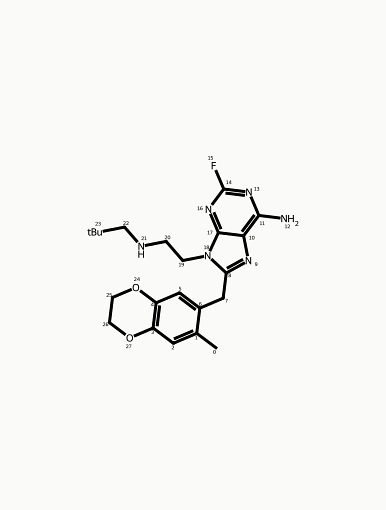 Cc1cc2c(cc1Cc1nc3c(N)nc(F)nc3n1CCNCC(C)(C)C)OCCO2